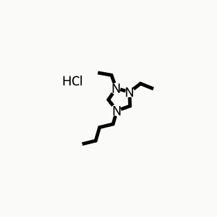 CCCCN1CN(CC)N(CC)C1.Cl